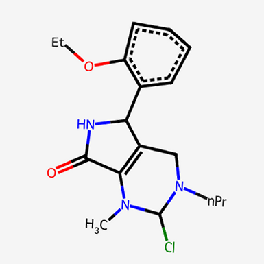 CCCN1CC2=C(C(=O)NC2c2ccccc2OCC)N(C)C1Cl